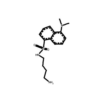 CN(C)c1cccc2c(S(=O)(=O)NCCCCN)cccc12